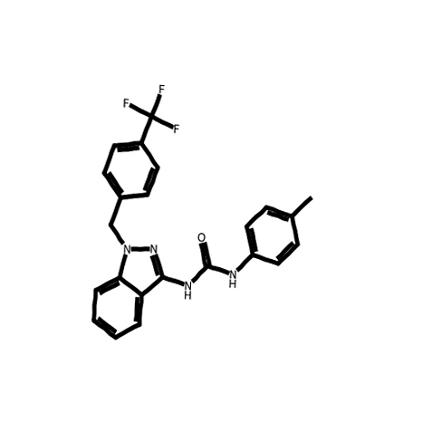 Cc1ccc(NC(=O)Nc2nn(Cc3ccc(C(F)(F)F)cc3)c3ccccc23)cc1